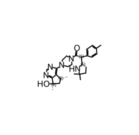 Cc1ccc([C@H](C(=O)N2CCN(c3ncnc4c3[C@H](C)C[C@@]4(C)O)CC2)[C@@H]2CCC(C)(C)N2)cc1